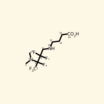 CN(C)C(F)(C(F)(F)F)C(F)(F)CNCCCC(=O)O